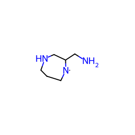 NCC1CNCCC[N]1